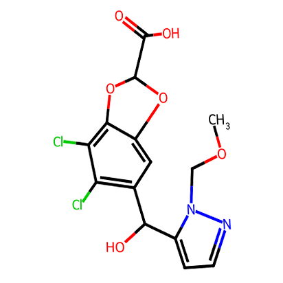 COCn1nccc1C(O)c1cc2c(c(Cl)c1Cl)OC(C(=O)O)O2